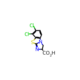 O=C(O)C1CN2C(=N1)Sc1c2ccc(Cl)c1Cl